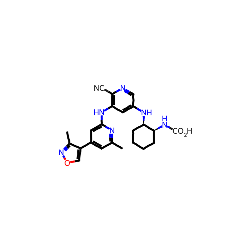 Cc1cc(-c2conc2C)cc(Nc2cc(N[C@@H]3CCCC[C@@H]3NC(=O)O)cnc2C#N)n1